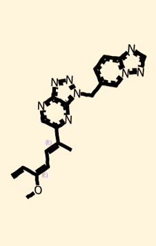 C=C/C(=C\C=C(/C)c1cnc2nnn(Cc3ccc4ncnn4c3)c2n1)OC